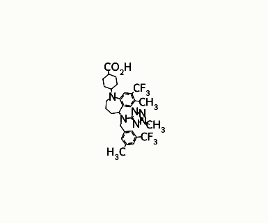 Cc1cc(CN(c2nnn(C)n2)[C@H]2CCCN(C3CCC(C(=O)O)CC3)c3cc(C(F)(F)F)c(C)cc32)cc(C(F)(F)F)c1